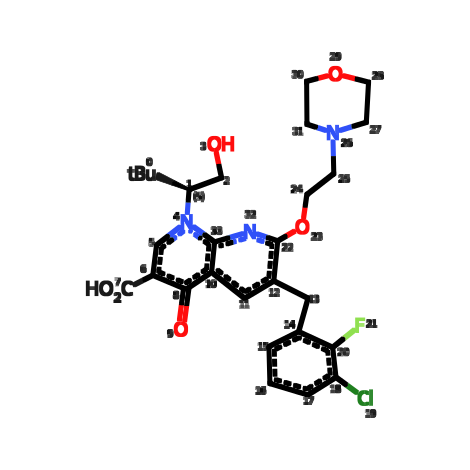 CC(C)(C)[C@@H](CO)n1cc(C(=O)O)c(=O)c2cc(Cc3cccc(Cl)c3F)c(OCCN3CCOCC3)nc21